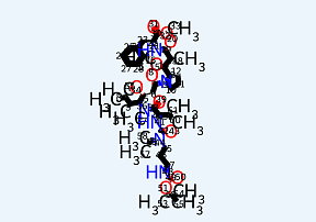 CC[C@H](C)[C@@H]([C@@H](CC(=O)N1CCC[C@H]1[C@H](OC)[C@@H](C)C(=O)N[C@@H](Cc1ccccc1)C(=O)OC)OC)N(C)C(=O)[C@@H](NC(=O)N(CCCNC(=O)OC(C)(C)C)C(C)C)C(C)C